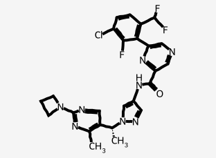 Cc1nc(N2CCC2)ncc1[C@@H](C)n1cc(NC(=O)c2cncc(-c3c(C(F)F)ccc(Cl)c3F)n2)cn1